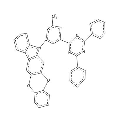 FC(F)(F)c1cc(-c2nc(-c3ccccc3)nc(-c3ccccc3)n2)cc(-n2c3ccccc3c3cc4c(cc32)Oc2ccccc2O4)c1